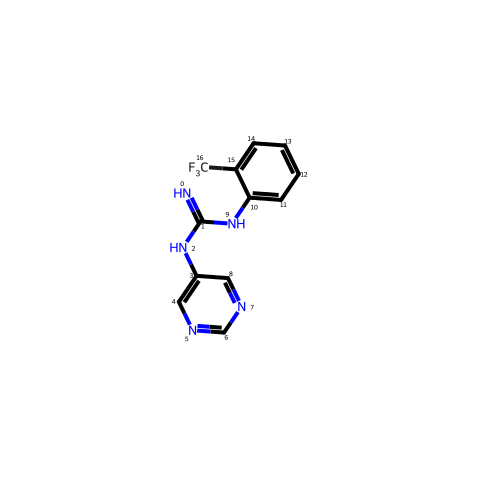 N=C(Nc1cncnc1)Nc1ccccc1C(F)(F)F